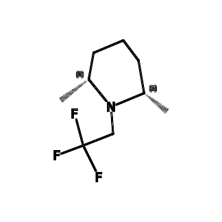 C[C@@H]1CCC[C@H](C)N1CC(F)(F)F